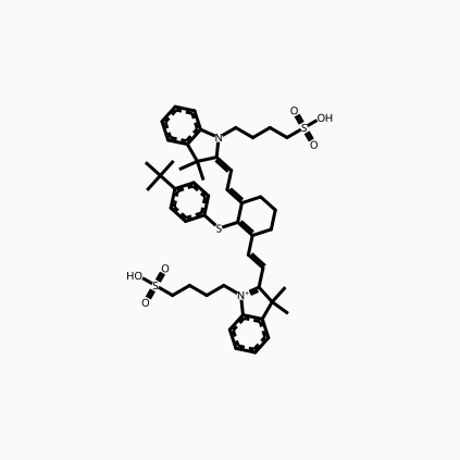 CC(C)(C)c1ccc(SC2=C(/C=C/C3=[N+](CCCCS(=O)(=O)O)c4ccccc4C3(C)C)CCC/C2=C\C=C2\N(CCCCS(=O)(=O)O)c3ccccc3C2(C)C)cc1